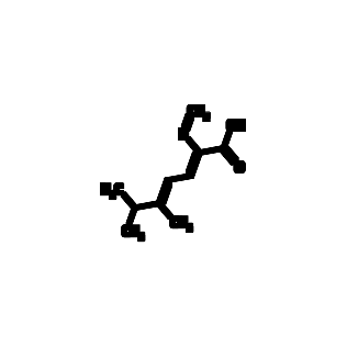 C=N/C(=C\C=C(/C)C(C)C)C(=O)O